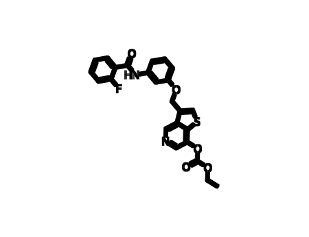 CCOC(=O)Oc1cncc2c(COc3cccc(NC(=O)c4ccccc4F)c3)csc12